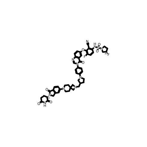 N#Cc1c(NS(=O)(=O)N2CC[C@@H](F)C2)ccc(F)c1Oc1ccc2ncn(-c3ccc(N4CCC(CN5CC6(CCN(c7ccc8c(c7)CN([C@H]7CCC(=O)NC7=O)C8=O)CC6)C5)C4)cc3)c(=O)c2c1